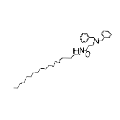 CCCCCCCCCCCCCCCCCCNC(=O)CCN(Cc1ccccc1)Cc1ccccc1